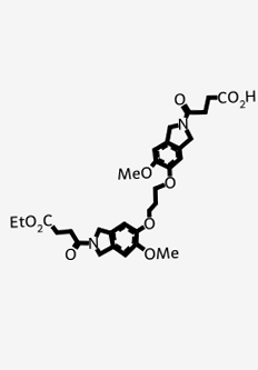 CCOC(=O)CCC(=O)N1Cc2cc(OC)c(OCCCOc3cc4c(cc3OC)CN(C(=O)CCC(=O)O)C4)cc2C1